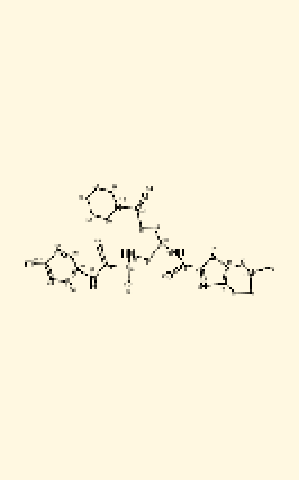 CN1CCc2nc(C(=O)NC(CCC(=O)N3CCCCC3)CNC(=O)C(=O)Nc3ccc(Cl)cn3)sc2C1